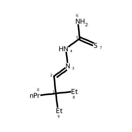 CCCC(C=NNC(N)=S)(CC)CC